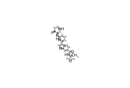 CC1(NC(=O)c2ccn3c(-c4cccc(N[C@H]5CNCC[C@@H]5F)n4)cnc3c2)COC1